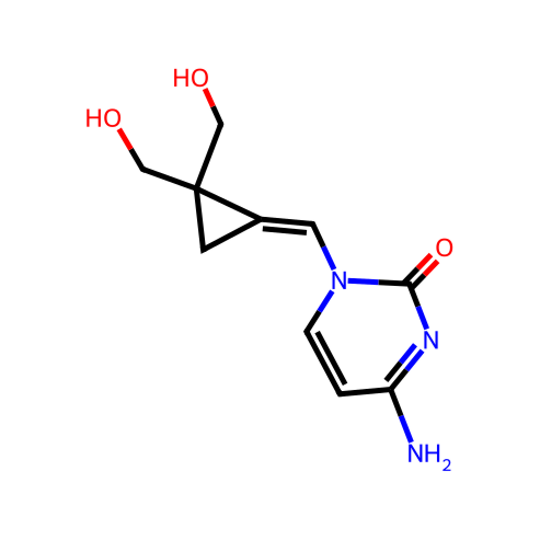 Nc1ccn(/C=C2\CC2(CO)CO)c(=O)n1